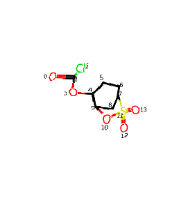 O=C(Cl)OC1CCC2CC1OS2(=O)=O